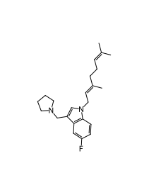 CC(C)=CCC/C(C)=C/Cn1cc(CN2CCCC2)c2cc(F)ccc21